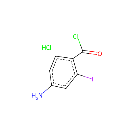 Cl.Nc1ccc(C(=O)Cl)c(I)c1